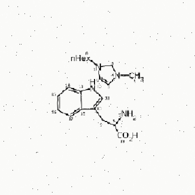 CCCCCCN1C=CN(C)C1.NC(Cc1c[nH]c2ccccc12)C(=O)O